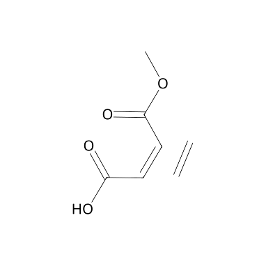 C=C.COC(=O)/C=C\C(=O)O